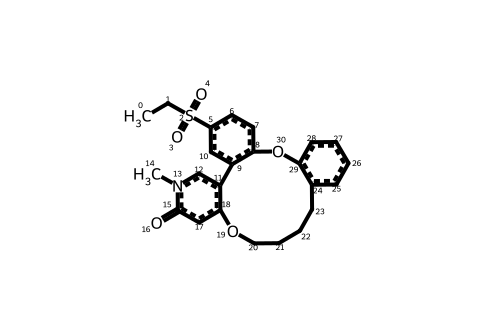 CCS(=O)(=O)c1ccc2c(c1)-c1cn(C)c(=O)cc1OCCCCc1ccccc1O2